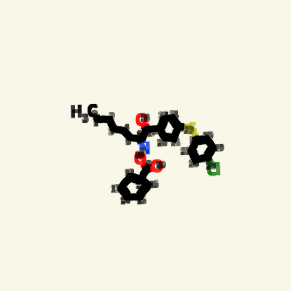 CCCCCC/C(=N\OC(=O)c1ccccc1)C(=O)c1ccc(Sc2ccc(Cl)cc2)cc1